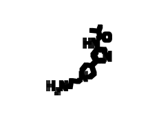 CC(C)C(=O)Nc1cncc(C2CCN(CCCN)CC2)c1